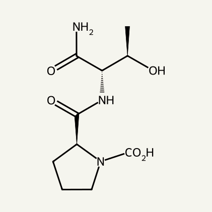 C[C@@H](O)[C@H](NC(=O)[C@@H]1CCCN1C(=O)O)C(N)=O